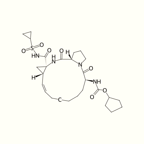 O=C(N[C@H]1CCCCC/C=C\[C@@H]2C[C@@]2(C(=O)NS(=O)(=O)C2CC2)NC(=O)[C@@H]2CCCN2C1=O)OC1CCCC1